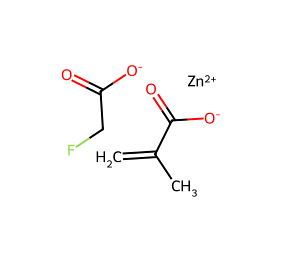 C=C(C)C(=O)[O-].O=C([O-])CF.[Zn+2]